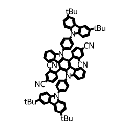 CC(C)(C)c1ccc2c(c1)c1cc(C(C)(C)C)ccc1n2-c1ccc(-n2c3ccccc3c3c(-c4ccc(C#N)cc4C#N)c4c(c(-c5ccc(C#N)cc5C#N)c32)c2ccccc2n4-c2ccc(-n3c4ccc(C(C)(C)C)cc4c4cc(C(C)(C)C)ccc43)cc2)cc1